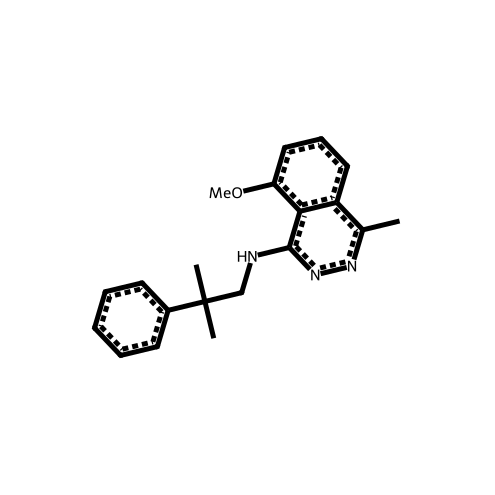 COc1cccc2c(C)nnc(NCC(C)(C)c3ccccc3)c12